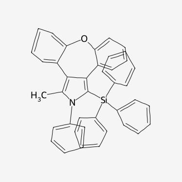 Cc1c2c(c([Si](c3ccccc3)(c3ccccc3)c3ccccc3)n1-c1ccccc1)-c1ccccc1Oc1ccccc1-2